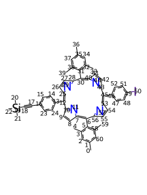 Cc1cc(C)c(C2=C3C=CC(=N3)C(c3ccc(C#C[Si](C)(C)C)cc3)=C3C=CC(=N3)C(c3c(C)cc(C)cc3C)=C3C=CC(=N3)C(c3ccc(I)cc3)=C3C=CC2=N3)c(C)c1